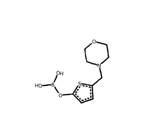 OB(O)Oc1ccc(CN2CCOCC2)s1